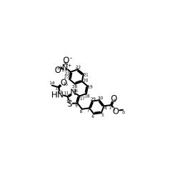 COC(=O)c1ccc(Cc2sc(NC(C)=O)nc2/C=C\c2ccc([N+](=O)[O-])cc2)cc1